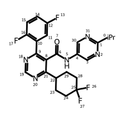 CC(C)c1ncc(NC(=O)c2c(-c3cc(F)ccc3F)ncnc2C2CCC(F)(F)CC2)cn1